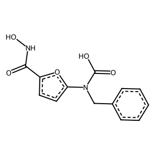 O=C(NO)c1ccc(N(Cc2ccccc2)C(=O)O)o1